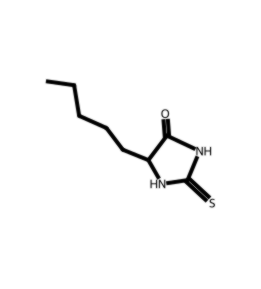 CCCCCC1NC(=S)NC1=O